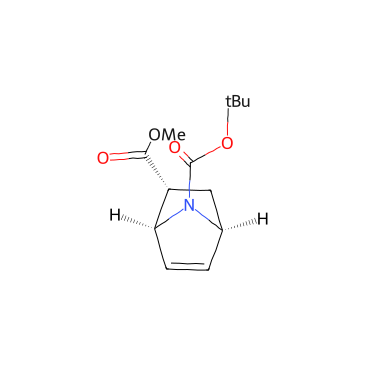 COC(=O)[C@@H]1C[C@H]2C=C[C@@H]1N2C(=O)OC(C)(C)C